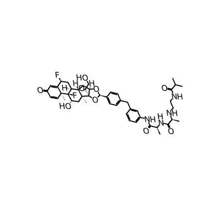 CC(C)C(=O)NCCN[C@@H](C)C(=O)N[C@@H](C)C(=O)Nc1cccc(Cc2ccc([C@@H]3O[C@@H]4C[C@H]5[C@@H]6C[C@H](F)C7=CC(=O)C=C[C@]7(C)[C@@]6(F)[C@@H](O)C[C@]5(C)[C@]4(C(=O)CO)O3)cc2)c1